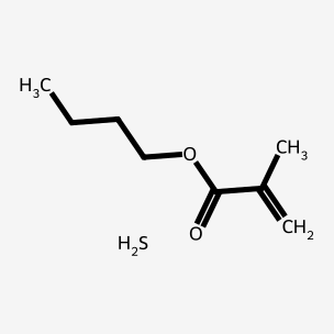 C=C(C)C(=O)OCCCC.S